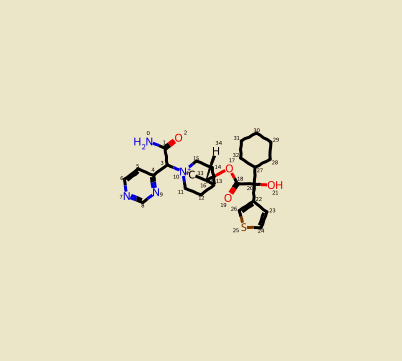 NC(=O)C(c1ccncn1)[N+]12CCC(CC1)[C@@H](OC(=O)C(O)(c1ccsc1)C1CCCCC1)C2